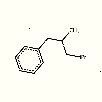 CC(C)[CH]C(C)Cc1ccccc1